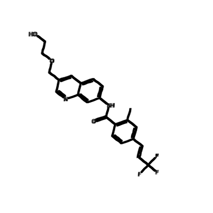 Cc1cc(/C=C/C(F)(F)F)ccc1C(=O)Nc1ccc2cc(COCCO)cnc2c1